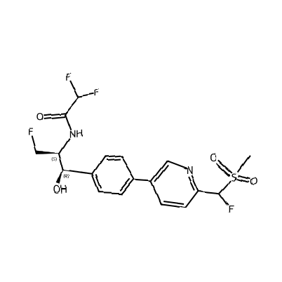 CS(=O)(=O)C(F)c1ccc(-c2ccc([C@@H](O)[C@@H](CF)NC(=O)C(F)F)cc2)cn1